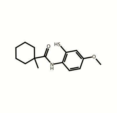 COc1ccc(NC(=O)C2(C)CCCCC2)c(S)c1